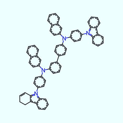 C1=Cc2c(c3ccccc3n2-c2ccc(N(c3cccc(-c4ccc(N(c5ccc(-n6c7ccccc7c7ccccc76)cc5)c5ccc6ccccc6c5)cc4)c3)c3ccc4ccccc4c3)cc2)CC1